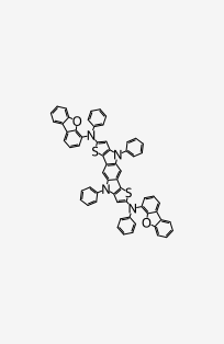 c1ccc(N(c2cc3c(s2)c2cc4c(cc2n3-c2ccccc2)c2sc(N(c3ccccc3)c3cccc5c3oc3ccccc35)cc2n4-c2ccccc2)c2cccc3c2oc2ccccc23)cc1